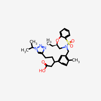 CC[C@@H]1CN(Cc2cc(C(CCc3cn(C(C)C)nn3)CC(=O)O)ccc2C)S(=O)(=O)c2ccccc2O1